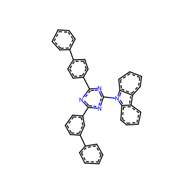 c1ccc(-c2ccc(-c3nc(-c4cccc(-c5ccccc5)c4)nc(-n4c5ccccc5c5ccccc54)n3)cc2)cc1